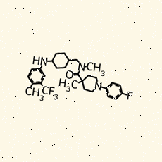 Cc1ccc(NC2CCC(CN(C)C(=O)C3(C)CCN(c4ccc(F)cc4)CC3)CC2)cc1C(F)(F)F